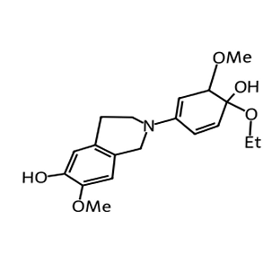 CCOC1(O)C=CC(N2CCc3cc(O)c(OC)cc3C2)=CC1OC